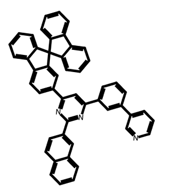 c1cncc(-c2cccc(-c3cc(-c4ccc5c(c4)C4(c6ccccc6-c6ccccc64)c4ccccc4-5)nc(-c4ccc5ccccc5c4)n3)c2)c1